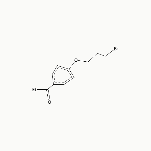 CCC(=O)c1ccc(OCCCBr)cc1